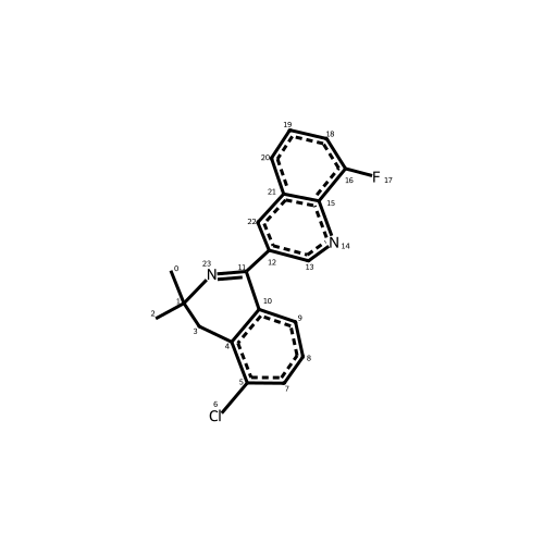 CC1(C)Cc2c(Cl)cccc2C(c2cnc3c(F)cccc3c2)=N1